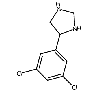 Clc1cc(Cl)cc(C2CNCN2)c1